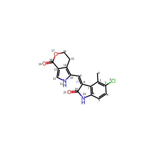 Cc1c(Cl)ccc2c1/C(=C/c1[nH]cc3c1CCOC3=O)C(=O)N2